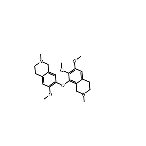 COc1cc2c(cc1Oc1c3c(cc(OC)c1OC)CCN(C)C3)CN(C)CC2